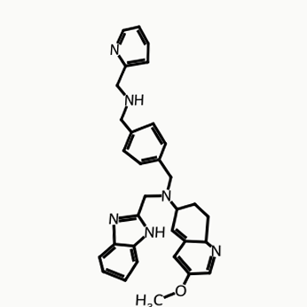 COC1=CC2=CC(N(Cc3ccc(CNCc4ccccn4)cc3)Cc3nc4ccccc4[nH]3)CCC2N=C1